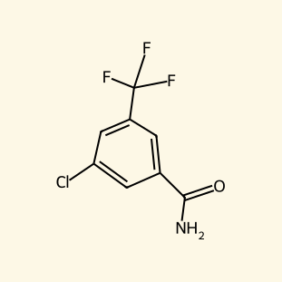 NC(=O)c1cc(Cl)cc(C(F)(F)F)c1